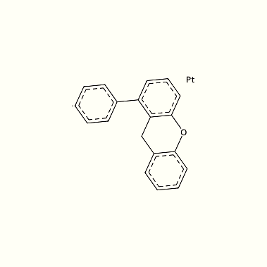 [Pt].[c]1ccc(-c2cccc3c2Cc2ccccc2O3)cc1